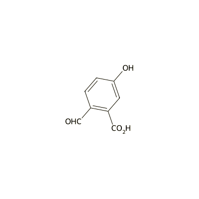 O=Cc1ccc(O)cc1C(=O)O